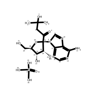 CC(C)(O)CC(=O)[C@@]1(n2cnc3c(N)ncnc32)O[C@H](CO)[C@@H](O)[C@H]1O.O=P(O)(O)O